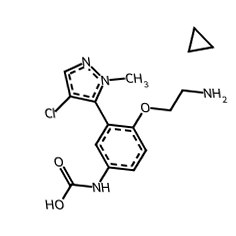 C1CC1.Cn1ncc(Cl)c1-c1cc(NC(=O)O)ccc1OCCN